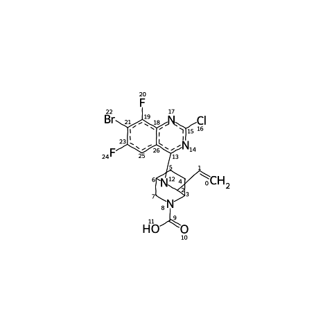 C=CC1C2CCC(CN2C(=O)O)N1c1nc(Cl)nc2c(F)c(Br)c(F)cc12